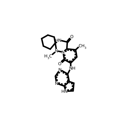 Cc1cc(Nc2ncnc3[nH]ccc23)c(=O)n2c1C(=O)NC1(CCCCC1)N2C